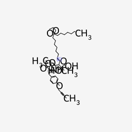 CC#CCOc1ccc(C[C@H](NC(=O)C(/C=C/CCCCCCC2(CCCCCCC)OCCO2)C(C)(O)C(=O)O)C(=O)OC)cc1